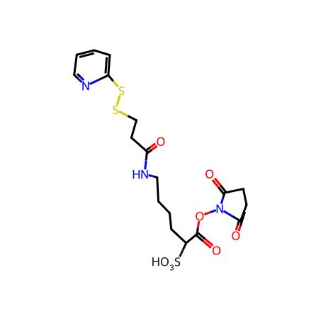 O=C(CCSSc1ccccn1)NCCCCC(C(=O)ON1C(=O)CCC1=O)S(=O)(=O)O